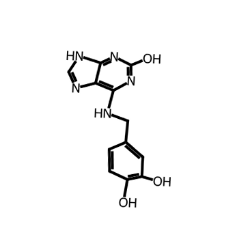 Oc1nc(NCc2ccc(O)c(O)c2)c2nc[nH]c2n1